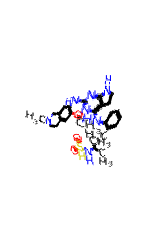 CC(C)N[SH](=O)=O.COc1cc2c(cc1Nc1nc(Nc3ccccc3C)c3cc[nH]c3n1)CN(C)CC2